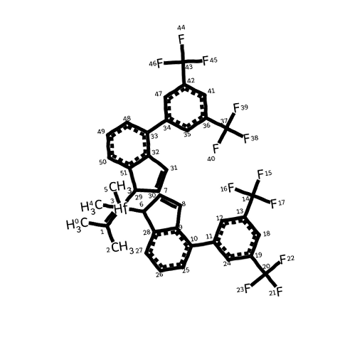 C[C](C)=[Hf]([CH3])([CH3])([CH]1C=Cc2c(-c3cc(C(F)(F)F)cc(C(F)(F)F)c3)cccc21)[CH]1C=Cc2c(-c3cc(C(F)(F)F)cc(C(F)(F)F)c3)cccc21